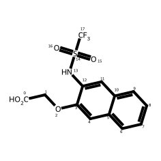 O=C(O)COc1cc2ccccc2cc1NS(=O)(=O)C(F)(F)F